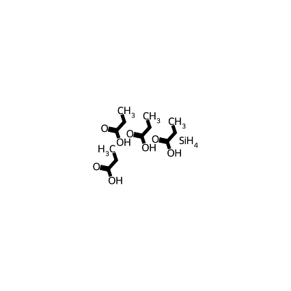 CCC(=O)O.CCC(=O)O.CCC(=O)O.CCC(=O)O.[SiH4]